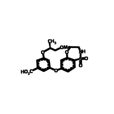 COC[C@H](C)Oc1cc(Oc2ccc3c(c2)OCCNS3(=O)=O)cc(C(=O)O)c1